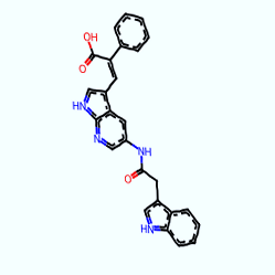 O=C(Cc1c[nH]c2ccccc12)Nc1cnc2[nH]cc(C=C(C(=O)O)c3ccccc3)c2c1